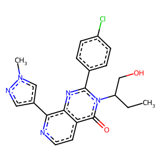 CCC(CO)n1c(-c2ccc(Cl)cc2)nc2c(-c3cnn(C)c3)nccc2c1=O